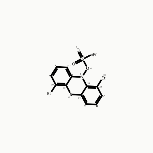 CCCS(=O)(=O)ON1c2cccc(CC)c2Sc2cccc(CC)c21